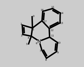 CC12C=CC1(C)N1C=CC=CC1c1ccccc12